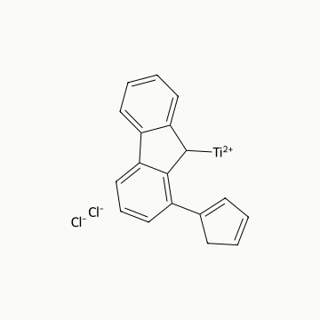 [Cl-].[Cl-].[Ti+2][CH]1c2ccccc2-c2cccc(C3=CC=CC3)c21